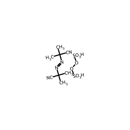 CC(C)(C#N)N=NC(C)(C)C#N.O=S(=O)(O)OOS(=O)(=O)O